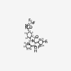 O=C1c2cc(-c3nnc(C(F)F)o3)ccc2CN1[C@H](c1ccc(F)cc1F)C(O)c1ccccn1